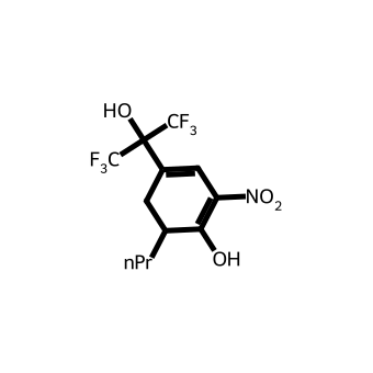 CCCC1CC(C(O)(C(F)(F)F)C(F)(F)F)=CC([N+](=O)[O-])=C1O